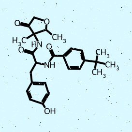 CC1OCC(=O)C1(C)NC(=O)C(Cc1ccc(O)cc1)NC(=O)c1ccc(C(C)(C)C)cc1